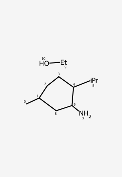 CC1CCC(C(C)C)C(N)C1.CCO